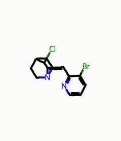 ClC1C(=Cc2ncccc2Br)N2CCC1CC2